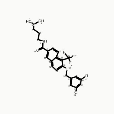 O=C(NCCCP(O)O)c1ccc2c(C(F)(F)F)c(OCc3cc(Cl)cc(Cl)c3)ccc2c1